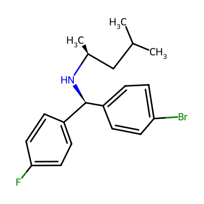 CC(C)C[C@H](C)N[C@H](c1ccc(F)cc1)c1ccc(Br)cc1